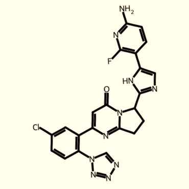 Nc1ccc(-c2cnc(C3CCc4nc(-c5cc(Cl)ccc5-n5cnnn5)cc(=O)n43)[nH]2)c(F)n1